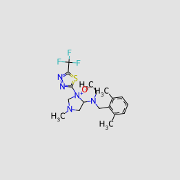 CCN(Cc1c(C)cccc1C)C1CN(C)C[N+]1([O-])c1nnc(C(F)(F)F)s1